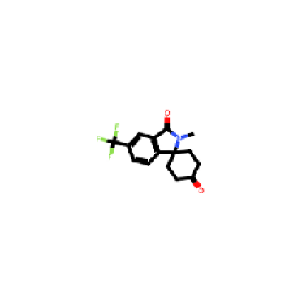 CN1C(=O)c2cc(C(F)(F)F)ccc2C12CCC(=O)CC2